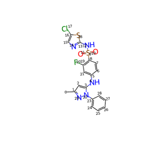 Cc1cc(Nc2ccc(S(=O)(=O)Nc3ncc(Cl)s3)c(F)c2)n(-c2ccccc2)n1